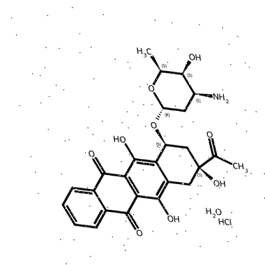 CC(=O)[C@]1(O)Cc2c(O)c3c(c(O)c2[C@@H](O[C@H]2C[C@H](N)[C@H](O)[C@H](C)O2)C1)C(=O)c1ccccc1C3=O.Cl.O